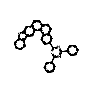 c1ccc(-c2nc(-c3ccccc3)nc(-c3ccc4c(ccc5ccc6cc7sc8ccccc8c7cc6c54)c3)n2)cc1